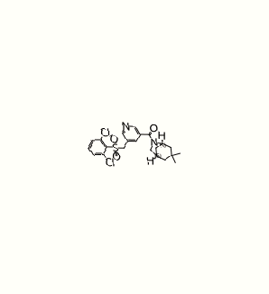 CC1(C)C[C@H]2C[C@@H](C1)N(C(=O)c1cncc(CS(=O)(=O)c3c(Cl)cccc3Cl)c1)C2